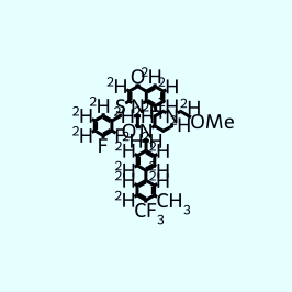 [2H]c1c([2H])c(F)c(F)c(CSc2c([2H])c(=O)c3c([2H])c([2H])c([2H])c([2H])c3n2C([2H])([2H])C(=O)N(C2CCN(CC([2H])([2H])OC)CC2)C([2H])([2H])c2c([2H])c([2H])c(-c3c([2H])c([2H])c(C(F)(F)F)c(C)c3[2H])c([2H])c2[2H])c1[2H]